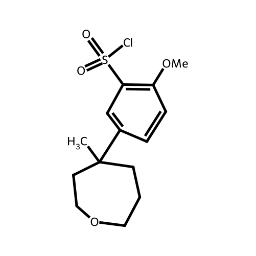 COc1ccc(C2(C)CCCOCC2)cc1S(=O)(=O)Cl